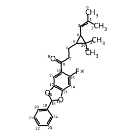 CC(C)=CC1C(CCC(=O)c2cc3c(cc2F)OC(c2ccccc2)O3)C1(C)C